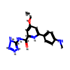 CNc1ccc(-c2cc(OC)cc(C(=O)Nc3nnn[nH]3)n2)cc1.[Na]